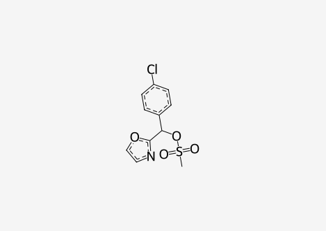 CS(=O)(=O)OC(c1ccc(Cl)cc1)c1ncco1